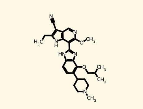 CCc1[nH]c2c(-c3nc4c(OCC(C)C)c(C5CCN(C)CC5)ccc4[nH]3)c(OC)ncc2c1C#N